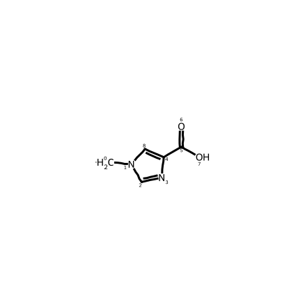 [CH2]n1cnc(C(=O)O)c1